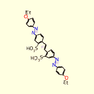 CCOc1ccc(/N=N/c2ccc(/C=C/c3ccc(/N=N/c4ccc(OCC)cc4)cc3S(=O)(=O)O)c(S(=O)(=O)O)c2)cc1